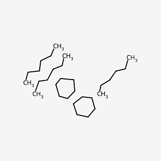 C1CCCCC1.C1CCCCC1.CCCCCC.CCCCCC.CCCCCC